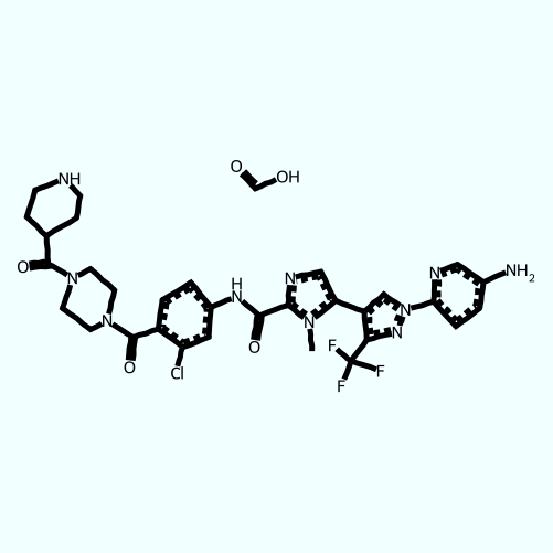 Cn1c(-c2cn(-c3ccc(N)cn3)nc2C(F)(F)F)cnc1C(=O)Nc1ccc(C(=O)N2CCN(C(=O)C3CCNCC3)CC2)c(Cl)c1.O=CO